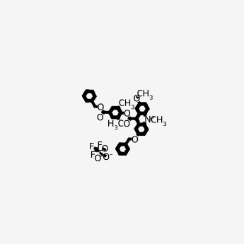 COc1ccc2c(c1)c(C(=O)Oc1c(C)cc(C(=O)OCc3ccccc3)cc1C)c1cc(OCc3ccccc3)ccc1[n+]2C.O=S(=O)([O-])C(F)(F)F